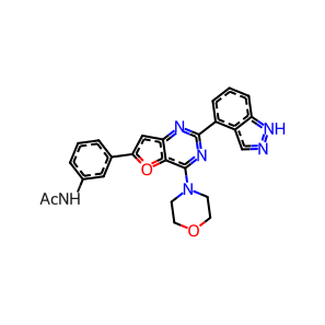 CC(=O)Nc1cccc(-c2cc3nc(-c4cccc5[nH]ncc45)nc(N4CCOCC4)c3o2)c1